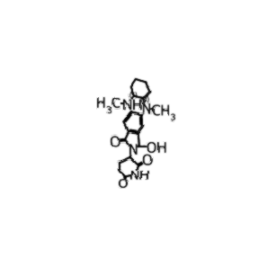 CN[C@H]1CCCC[C@H]1N(C)c1ccc2c(c1)C(O)N(C1CCC(=O)NC1=O)C2=O